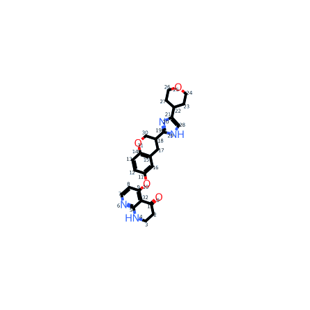 O=C1CCNc2nccc(Oc3ccc4c(c3)CC(c3nc(C5CCOCC5)c[nH]3)CO4)c21